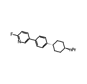 CCC[C@H]1CC[C@H](c2ccc(-c3ccc(F)nc3)cc2)CC1